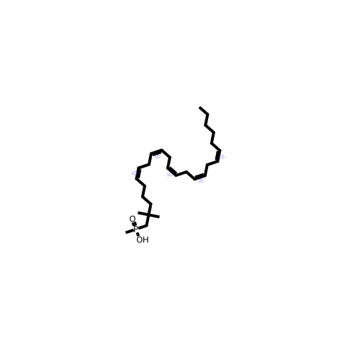 CCCCC/C=C\C/C=C\C/C=C\C/C=C\C/C=C\CCCC(C)(C)CP(C)(=O)O